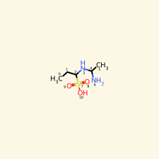 CCC(NC(C)N)S(=O)(=O)O